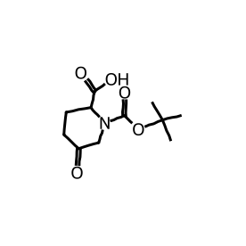 CC(C)(C)OC(=O)N1CC(=O)CCC1C(=O)O